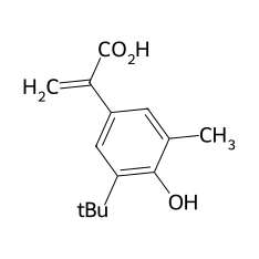 C=C(C(=O)O)c1cc(C)c(O)c(C(C)(C)C)c1